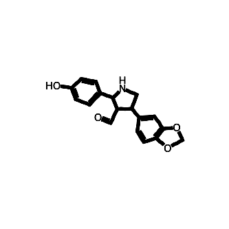 O=CC1C(c2ccc3c(c2)OCO3)CNC1c1ccc(O)cc1